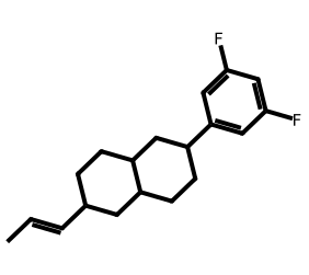 CC=CC1CCC2CC(c3cc(F)cc(F)c3)CCC2C1